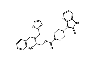 CC(COC(=O)N1CCC(n2c(=O)[nH]c3ccccc32)CC1)N(Cc1ccccc1)Cc1ccco1